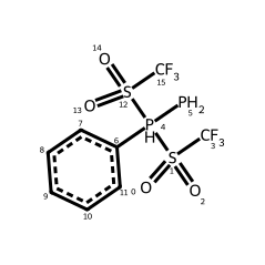 O=S(=O)(C(F)(F)F)[PH](P)(c1ccccc1)S(=O)(=O)C(F)(F)F